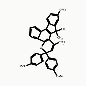 COc1ccc(C2(c3ccc(OC)cc3)C=C(C(=O)O)c3c4c(c5ccccc5c3O2)-c2ccc(OC)cc2C4(C)C)cc1